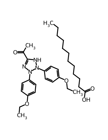 CCCCCCCCCCCC(=O)O.CCOc1ccc(N2N=C(C(C)=O)NN2c2ccc(OCC)cc2)cc1